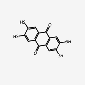 O=C1c2cc(S)c(S)cc2C(=O)c2cc(S)c(S)cc21